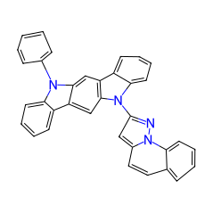 c1ccc(-n2c3ccccc3c3cc4c(cc32)c2ccccc2n4-c2cc3ccc4ccccc4n3n2)cc1